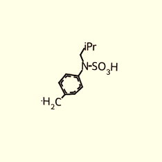 [CH2]c1ccc(N(CC(C)C)S(=O)(=O)O)cc1